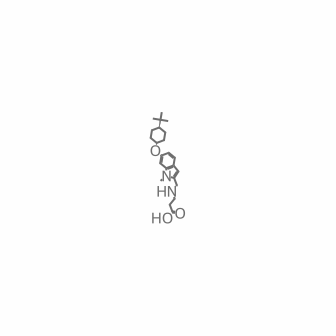 Cn1c(CNCCC(=O)O)cc2ccc(O[C@H]3CC[C@H](C(C)(C)C)CC3)cc21